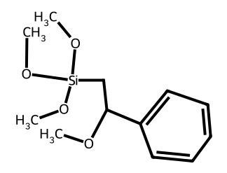 COC(C[Si](OC)(OC)OC)c1ccccc1